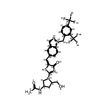 CC(=O)NC1CC(CO)N(C2=NC(=O)/C(=C\c3ccc4c(cnn4Cc4ccc(C(F)(F)F)cc4C(F)(F)F)c3)S2)C1